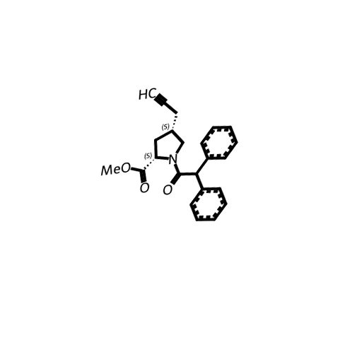 C#CC[C@H]1C[C@@H](C(=O)OC)N(C(=O)C(c2ccccc2)c2ccccc2)C1